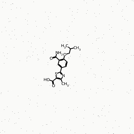 Cc1nc(-c2ccc(OCC(C)C)c(C(N)=O)c2)sc1C(=O)O